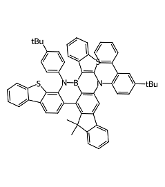 CC(C)(C)c1ccc(N2B3c4c(cc5c(c4-c4ccc6c(sc7ccccc76)c42)C(C)(C)c2ccccc2-5)N(c2ccc(C(C)(C)C)cc2-c2ccccc2)c2sc4ccccc4c23)cc1